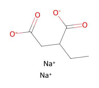 CCC(CC(=O)[O-])C(=O)[O-].[Na+].[Na+]